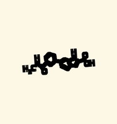 CNC(=O)c1cccc(-c2ccc3cc(C(=O)O)[nH]c3c2)c1